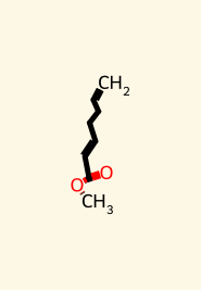 C=CCC/C=C/C(=O)OC